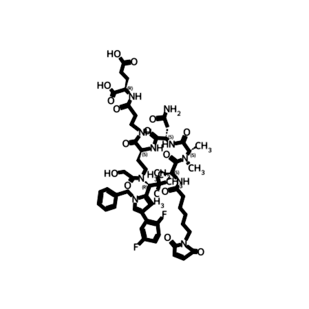 C[C@H](NC(=O)CCCCCN1C(=O)C=CC1=O)C(=O)N(C)[C@@H](C)C(=O)N[C@@H](CC(N)=O)C(=O)N[C@@H](CCN(C(=O)CO)[C@@H](c1cc(-c2cc(F)ccc2F)cn1Cc1ccccc1)C(C)(C)C)C(=O)NCCC(=O)N[C@H](CCC(=O)O)C(=O)O